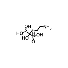 NCCCC(O)(P(O)O)[PH](=O)O